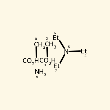 CC(=O)O.CC(=O)O.CCN(CC)CC.N